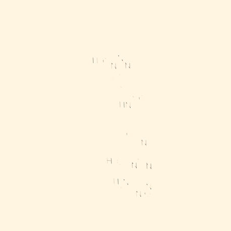 CCn1c(-c2nonc2N)nc2cnc(Oc3cccc(NC(=O)c4ccc5c(c4)nnn5C)c3)cc21